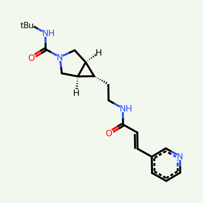 CC(C)(C)NC(=O)N1C[C@@H]2[C@@H](CCNC(=O)/C=C/c3cccnc3)[C@@H]2C1